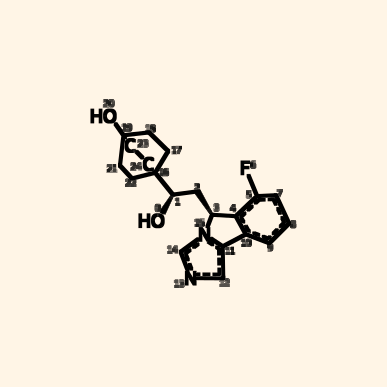 O[C@H](C[C@H]1c2c(F)cccc2-c2cncn21)C12CCC(O)(CC1)CC2